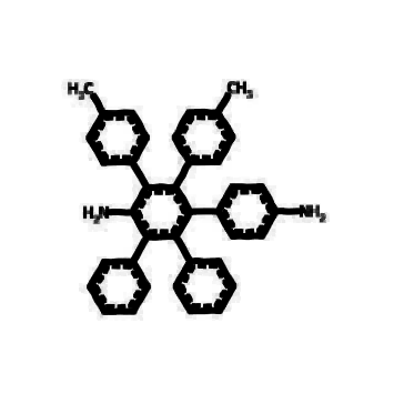 Cc1ccc(-c2c(N)c(-c3ccccc3)c(-c3ccccc3)c(-c3ccc(N)cc3)c2-c2ccc(C)cc2)cc1